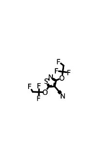 N#Cc1c(OC(F)(F)CF)nsc1OC(F)(F)CF